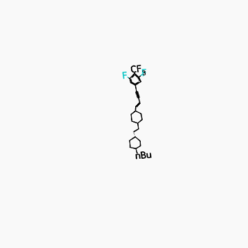 CCCC[C@H]1CC[C@H](CCC2CCC(/C=C/C#Cc3cc(F)c(C(F)(F)F)c(F)c3)CC2)CC1